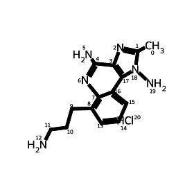 Cc1nc2c(N)nc3c(CCCN)cccc3c2n1N.Cl